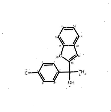 CC(O)(c1ccc(Cl)cc1)c1cc2ccccc2o1